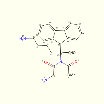 COC(=O)N(C(=O)CN)[C@]([C]=O)(CCCCN)C1c2ccccc2-c2ccccc21